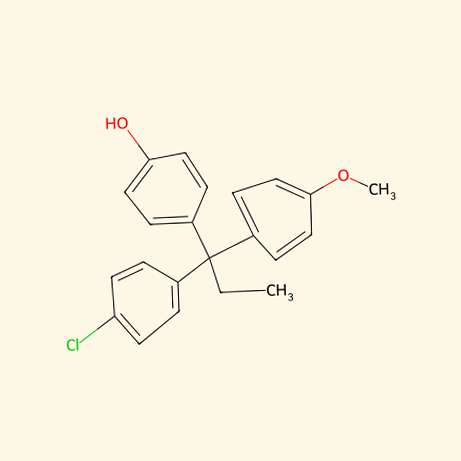 CCC(c1ccc(O)cc1)(c1ccc(Cl)cc1)c1ccc(OC)cc1